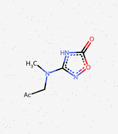 CC(=O)CN(C)c1noc(=O)[nH]1